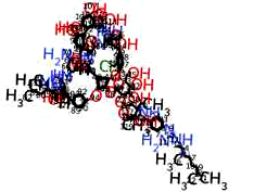 CCC1(NCc2ccc(/N=C(\N)NC/C=C(\C)CCC=C(C)C)cc2)C[C@H](OC2C(O)[C@H](O)C(CO)O[C@H]2Oc2c3cc4cc2Oc2ccc(cc2Cl)[C@@H](O)[C@@H]2NC(=O)[C@H](NC(=O)[C@@H]4NC(=O)C(CC(N)=O)NC(=O)[C@H](NC(=O)[C@@H](CC(C)C)NC)[C@H](O)c4ccc(cc4)O3)c3ccc(O)c(c3)-c3c(O)cc(O)cc3[C@@H](C(=O)O)NC2=O)O[C@@H](C)[C@@H]1O